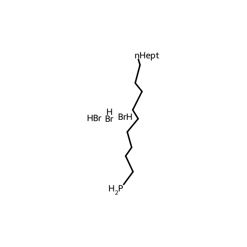 Br.Br.Br.CCCCCCCCCCCCCCCCP